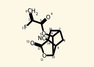 C=C(F)C(=O)OC1C2CC3C1OC(=O)C3(C#N)C2